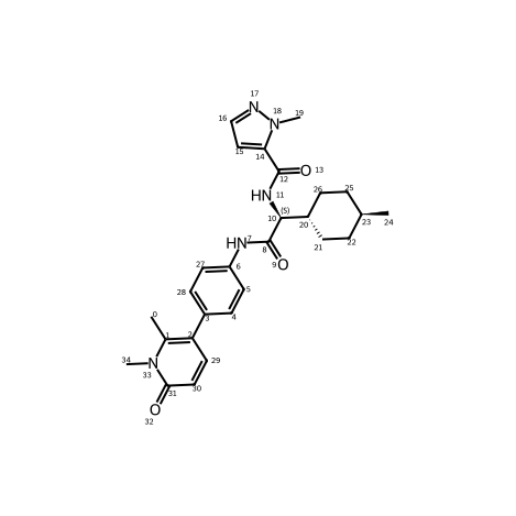 Cc1c(-c2ccc(NC(=O)[C@@H](NC(=O)c3ccnn3C)[C@H]3CC[C@H](C)CC3)cc2)ccc(=O)n1C